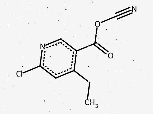 CCc1cc(Cl)ncc1C(=O)OC#N